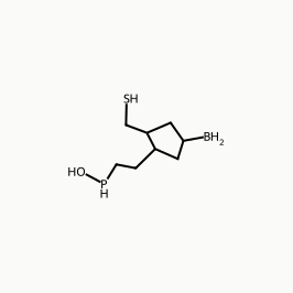 BC1CC(CS)C(CCPO)C1